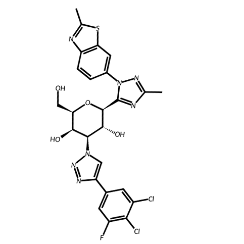 Cc1nc([C@@H]2O[C@H](CO)[C@H](O)[C@H](n3cc(-c4cc(F)c(Cl)c(Cl)c4)nn3)[C@H]2O)n(-c2ccc3nc(C)sc3c2)n1